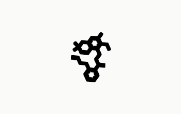 C=CCCc1ccccc1C(=C)CCc1c2c(cc(C)c1CC)CC(C)(C)C=C2